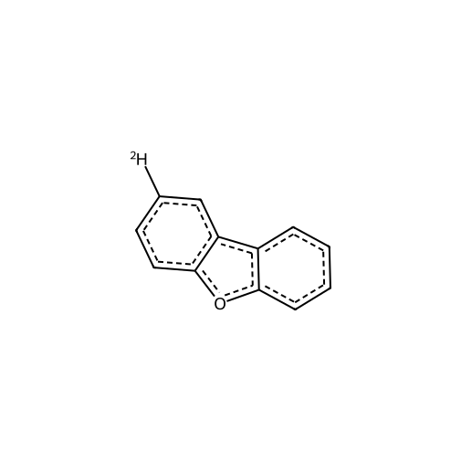 [2H]c1ccc2oc3ccccc3c2c1